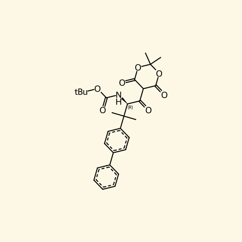 CC(C)(C)OC(=O)N[C@@H](C(=O)C1C(=O)OC(C)(C)OC1=O)C(C)(C)c1ccc(-c2ccccc2)cc1